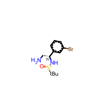 CC(C)(C)[S+]([O-])N[C@H](CN)c1cccc(Br)c1